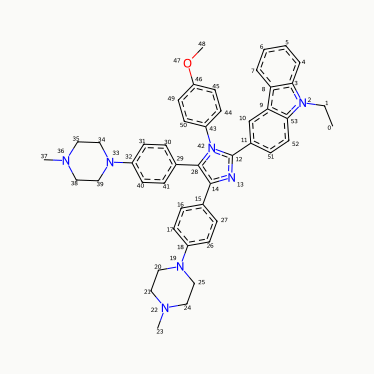 CCn1c2ccccc2c2cc(-c3nc(-c4ccc(N5CCN(C)CC5)cc4)c(-c4ccc(N5CCN(C)CC5)cc4)n3-c3ccc(OC)cc3)ccc21